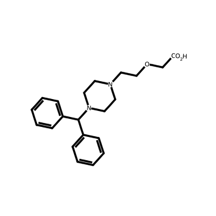 O=C(O)COCCN1CCN(C(c2ccccc2)c2ccccc2)CC1